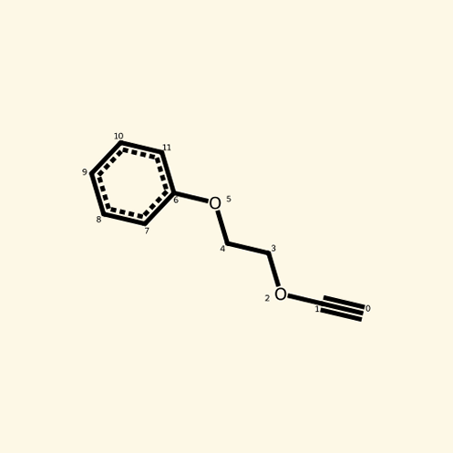 C#COCCOc1ccccc1